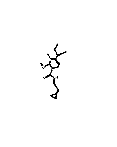 CCC(C)C1=CCN(C(=O)NCCC2CC2)C(OC)N1C